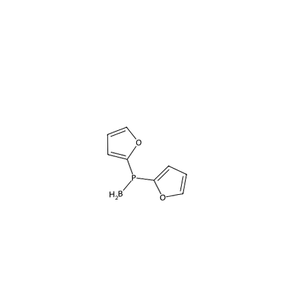 BP(c1ccco1)c1ccco1